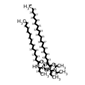 CCCCCCCCCCCCCCCC(=O)NC(CC)N(C)C.CCCCCCCCCCCCCCCCCCCCCC(=O)NC(CC)N(CC)CC